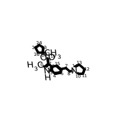 Cc1[nH]c2ccc(CCN3CCCCC3)cc2c1C(=O)OC1(C)CCCC1